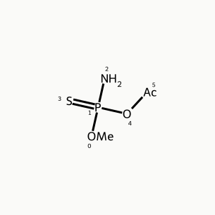 COP(N)(=S)OC(C)=O